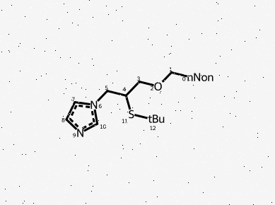 CCCCCCCCCCOCC(Cn1ccnc1)SC(C)(C)C